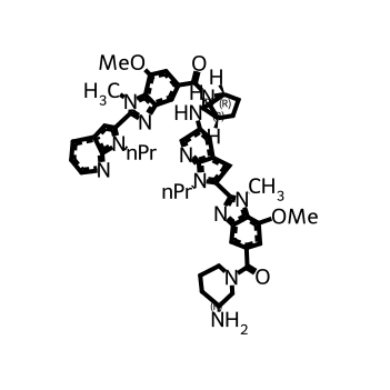 CCCn1c(-c2nc3cc(C(=O)N4C[C@H]5CC[C@@H]4[C@@H]5Nc4cnc5c(c4)cc(-c4nc6cc(C(=O)N7CCC[C@@H](N)C7)cc(OC)c6n4C)n5CCC)cc(OC)c3n2C)cc2cccnc21